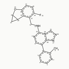 Cc1ncccc1-c1cnc(NCc2c(F)ccc3c2C2CC2O3)n2cnnc12